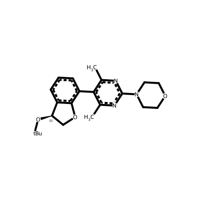 Cc1nc(N2CCOCC2)nc(C)c1-c1cccc2c1OC[C@H]2OC(C)(C)C